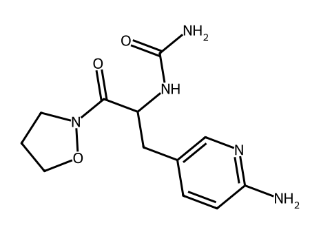 NC(=O)NC(Cc1ccc(N)nc1)C(=O)N1CCCO1